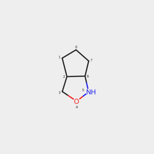 C1CC2CONC2C1